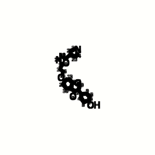 O=c1c(-c2ccc(O)cc2)coc2cc(OCCc3nnc(-c4ccncc4)o3)ccc12